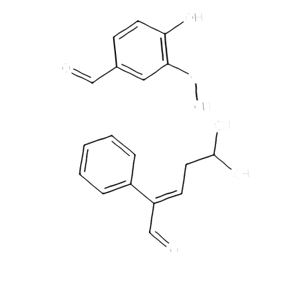 CC(C)C/C=C(/C=O)c1ccccc1.COc1cc(C=O)ccc1O